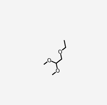 CCOCC(OC)OC